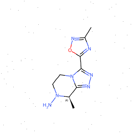 Cc1noc(-c2nnc3n2CCN(N)[C@@H]3C)n1